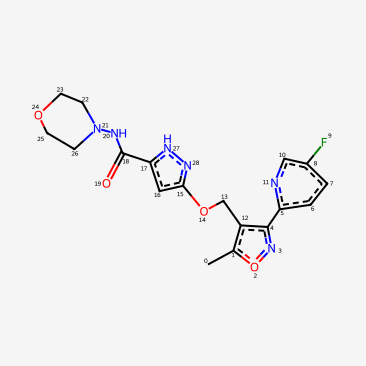 Cc1onc(-c2ccc(F)cn2)c1COc1cc(C(=O)NN2CCOCC2)[nH]n1